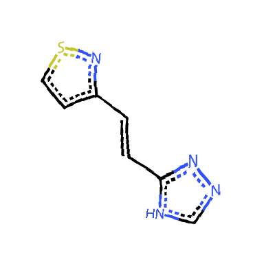 C(=C\c1nnc[nH]1)/c1ccsn1